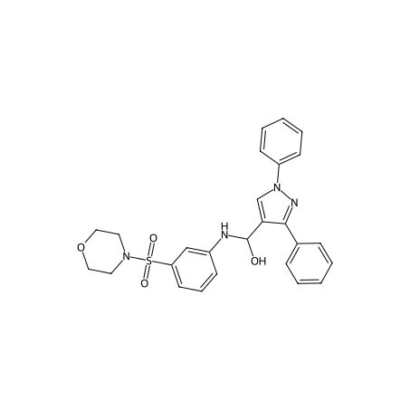 O=S(=O)(c1cccc(NC(O)c2cn(-c3ccccc3)nc2-c2ccccc2)c1)N1CCOCC1